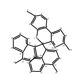 Cc1ccc2c(c1)SC(c1ccc(C)c3ccccc13)(c1ccc(C)c3ccccc13)c1nc(C)ccc1-2